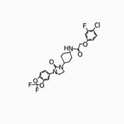 O=C(COc1ccc(Cl)c(F)c1)NC1CCC(N2CCN(c3ccc4c(c3)OC(F)(F)O4)C2=O)CC1